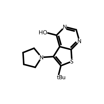 CC(C)(C)c1sc2ncnc(O)c2c1N1CCCC1